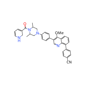 COc1c(-c2ccc(N3CC(C)N(C(=O)C4=CC=CNC4)C(C)C3)cc2)cnc2c(-c3ccc(C#N)cc3)cccc12